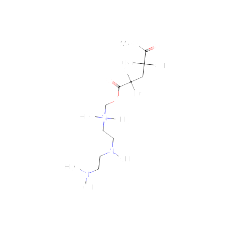 CCC(C)(CC(C)(C(=O)OC)C(C)(C)C)C(=O)OC[N+](C)(C)CCN(C)CCN(C)C